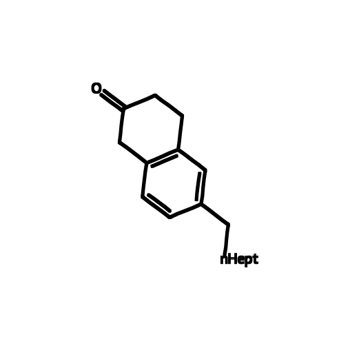 CCCCCCCCc1ccc2c(c1)CCC(=O)C2